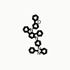 c1ccc(-c2nc3ccccc3n2-c2ccc(-n3c4ccccc4c4c3ccc3c5ccccc5n(-c5ccc6oc7ccccc7c6c5)c34)cc2)cc1